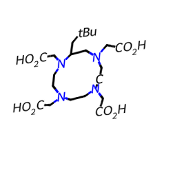 CC(C)(C)CC1CN(CC(=O)O)CCN(CC(=O)O)CCN(CC(=O)O)CCN1CC(=O)O